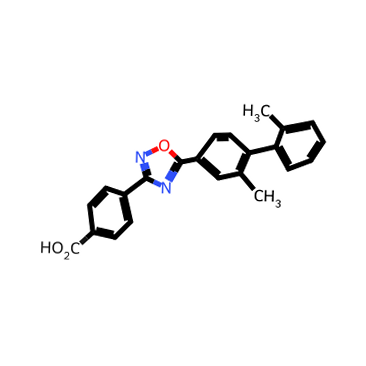 Cc1ccccc1-c1ccc(-c2nc(-c3ccc(C(=O)O)cc3)no2)cc1C